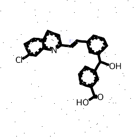 O=C(O)c1cccc(C(O)c2cccc(/C=C/c3ccc4ccc(Cl)cc4n3)c2)c1